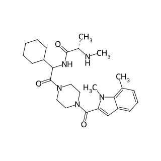 CN[C@@H](C)C(=O)NC(C(=O)N1CCN(C(=O)c2cc3cccc(C)c3n2C)CC1)C1CCCCC1